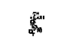 OCCN(CCO)c1nc(-c2cc(-c3ccon3)n(Cc3ccccc3F)n2)ncc1F